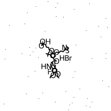 Br.CCOc1cc2c(c(F)c1OCC)C(=N)N(CC(=O)c1cc(OCCCc3nccs3)c(OCCCCC(=O)O)c(C(C)(C)C)c1)C2